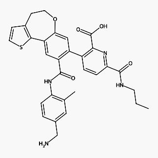 CCCNC(=O)c1ccc(-c2cc3c(cc2C(=O)Nc2ccc(CN)cc2C)-c2sccc2CCO3)c(C(=O)O)n1